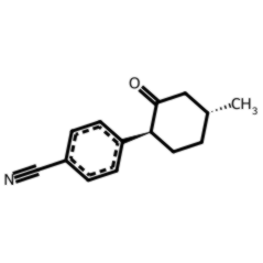 C[C@@H]1CC[C@@H](c2ccc(C#N)cc2)C(=O)C1